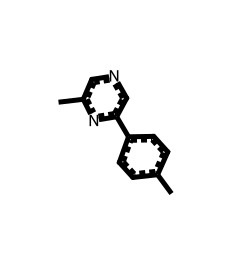 Cc1ccc(-c2cncc(C)n2)cc1